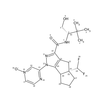 CC(C)(C)[C@@H](CO)NC(=O)c1nn(-c2c[n+]([O-])ccn2)c2c1C[C@@]1(C(F)F)CCCC21